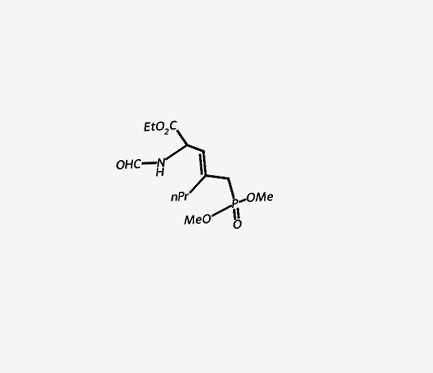 CCC/C(=C\C(NC=O)C(=O)OCC)CP(=O)(OC)OC